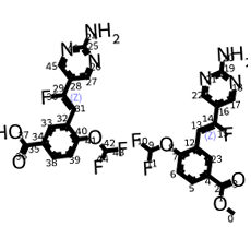 COC(=O)c1ccc(OC(F)F)c(/C=C(\F)c2cnc(N)nc2)c1.Nc1ncc(/C(F)=C/c2cc(C(=O)O)ccc2OC(F)F)cn1